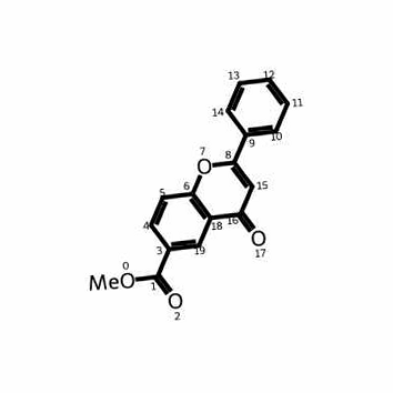 COC(=O)c1ccc2oc(-c3ccccc3)cc(=O)c2c1